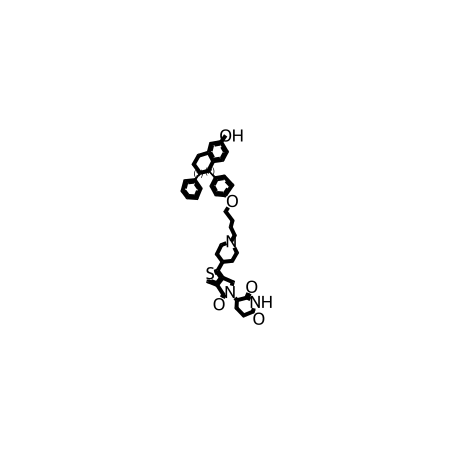 O=C1CCC(N2Cc3c(csc3C3CCN(CCCCOc4ccc([C@@H]5c6ccc(O)cc6CC[C@@H]5c5ccccc5)cc4)CC3)C2=O)C(=O)N1